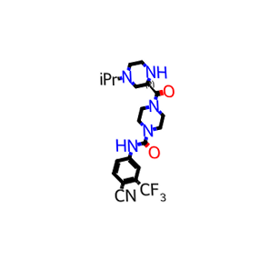 CC(C)N1CCN[C@@H](C(=O)N2CCN(C(=O)Nc3ccc(C#N)c(C(F)(F)F)c3)CC2)C1